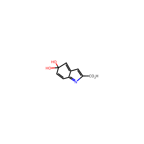 O=C(O)C1=CC2=CC(O)(O)C=CC2=N1